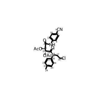 CC(=O)O[C@@H](C(=O)Nc1ccc(C#N)cc1)[C@@H](OC(C)=O)C(=O)N(CCCl)c1ccc(C)cc1